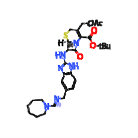 CC(=O)OCC1=C(C(=O)OC(C)(C)C)N2C(=O)C(Nc3nc4cc(C/N=C/N5CCCCCC5)ccc4[nH]3)[C@H]2SC1